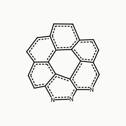 c1cc2ccc3cnc4nnc5ccc6ccc1c1c2c3c4c5c61